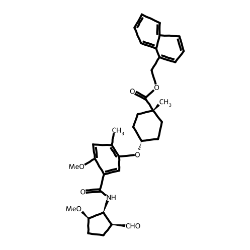 COc1cc(C)c(O[C@H]2CC[C@@](C)(C(=O)OCc3cccc4ccccc34)CC2)cc1C(=O)N[C@H]1[C@@H](C=O)CC[C@H]1OC